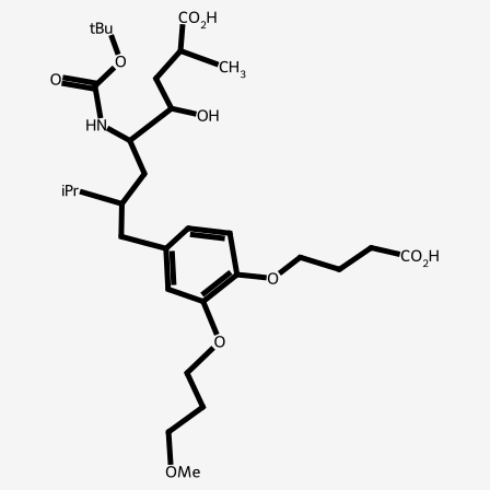 COCCCOc1cc(CC(CC(NC(=O)OC(C)(C)C)C(O)CC(C)C(=O)O)C(C)C)ccc1OCCCC(=O)O